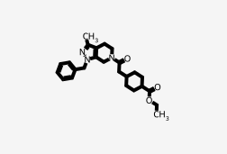 CCOC(=O)C1CCC(CC(=O)N2CCc3c(C)nn(Cc4ccccc4)c3C2)CC1